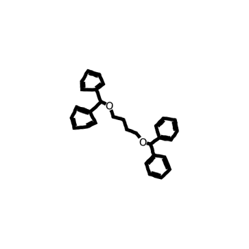 c1ccc(C(OCCCCOC(c2ccccc2)c2ccccc2)c2ccccc2)cc1